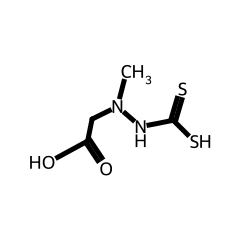 CN(CC(=O)O)NC(=S)S